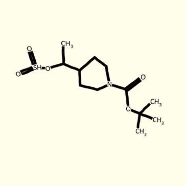 CC(O[SH](=O)=O)C1CCN(C(=O)OC(C)(C)C)CC1